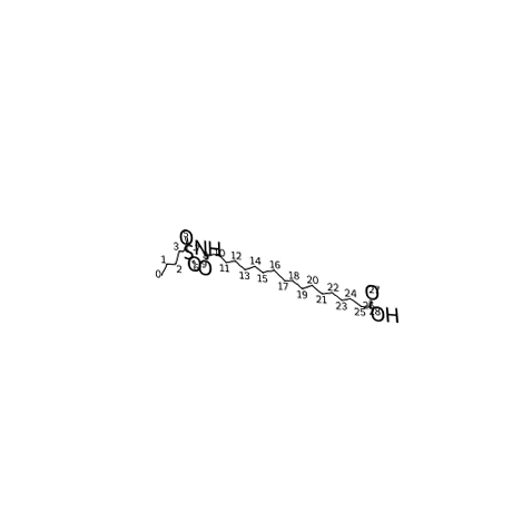 CCCCS(=O)(=O)NC(=O)CCCCCCCCCCCCCCCCC(=O)O